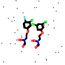 O=CN(O)CCOc1cc(Cl)cc(Cl)c1.O=CN(O)CCOc1ccc(F)c(Cl)c1